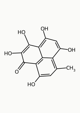 Cc1cc(O)c2c3c(c(O)cc(O)c13)C(O)=C(O)C2=O